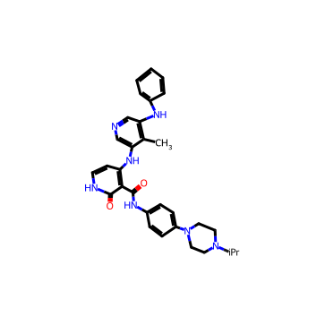 Cc1c(Nc2ccccc2)cncc1Nc1cc[nH]c(=O)c1C(=O)Nc1ccc(N2CCN(C(C)C)CC2)cc1